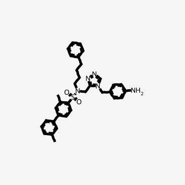 Cc1cccc(-c2ccc(S(=O)(=O)N(CCCCc3ccccc3)Cc3nncn3Cc3ccc(N)cc3)c(C)c2)c1